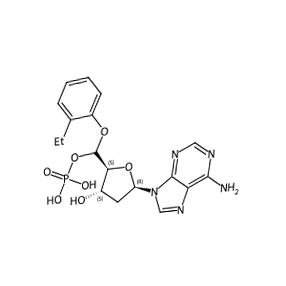 CCc1ccccc1OC(OP(=O)(O)O)[C@H]1O[C@@H](n2cnc3c(N)ncnc32)C[C@@H]1O